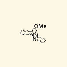 COc1cc2c3cc4ccccc4cc3n3c2c(c1)n1c2cc4ccccc4cc2nc13